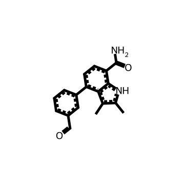 Cc1[nH]c2c(C(N)=O)ccc(-c3cccc(C=O)c3)c2c1C